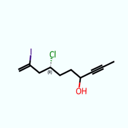 C=C(I)C[C@H](Cl)CCC(O)C#CC